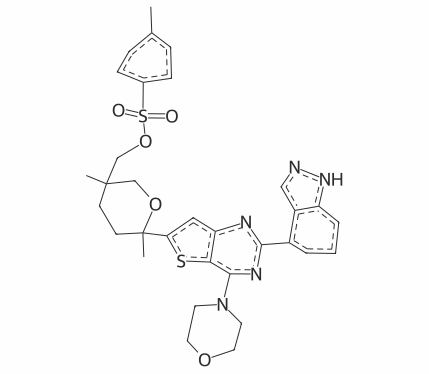 Cc1ccc(S(=O)(=O)OCC2(C)CCC(C)(c3cc4nc(-c5cccc6[nH]ncc56)nc(N5CCOCC5)c4s3)OC2)cc1